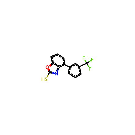 FC(F)(F)c1cccc(-c2cccc3oc(S)nc23)c1